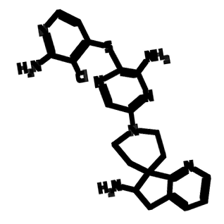 Nc1nc(N2CCC3(CC2)c2ncccc2CC3N)cnc1Sc1ccnc(N)c1Cl